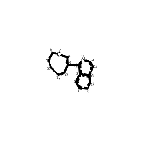 c1ccc2c(C3CCCCCCC3)nccc2c1